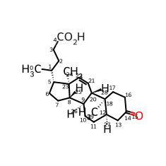 CC(CCC(=O)O)[C@H]1CC[C@H]2[C@@H]3CC[C@@H]4CC(=O)CC[C@]4(C)[C@H]3C=C[C@]12C